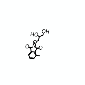 Cc1cccc2c1C(=O)N(OCC(O)CO)C2=O